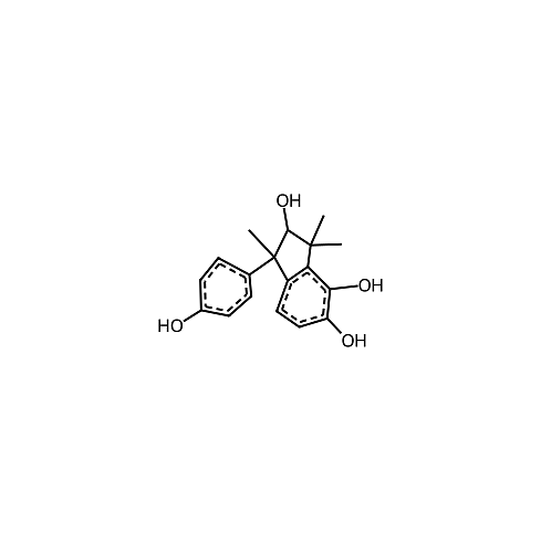 CC1(C)c2c(ccc(O)c2O)C(C)(c2ccc(O)cc2)C1O